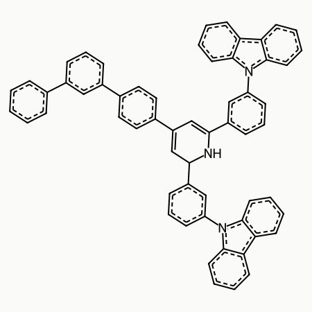 C1=C(c2ccc(-c3cccc(-c4ccccc4)c3)cc2)C=C(c2cccc(-n3c4ccccc4c4ccccc43)c2)NC1c1cccc(-n2c3ccccc3c3ccccc32)c1